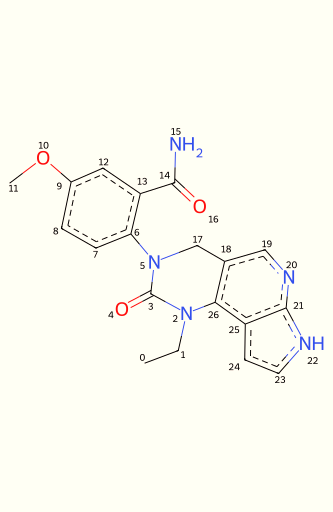 CCN1C(=O)N(c2ccc(OC)cc2C(N)=O)Cc2cnc3[nH]ccc3c21